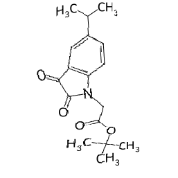 CC(C)c1ccc2c(c1)C(=O)C(=O)N2CC(=O)OC(C)(C)C